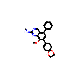 CNc1ncc2c(-c3ccccc3)cc(C3=CCC4(CC3)OCCO4)c(OC)c2n1